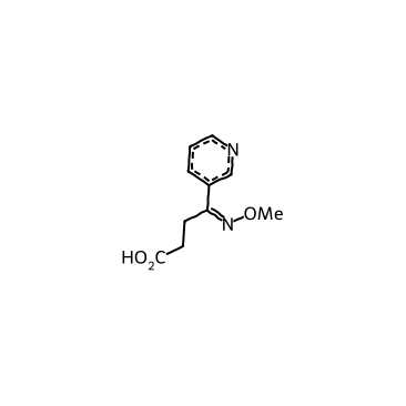 CO/N=C(/CCC(=O)O)c1cccnc1